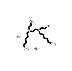 Br.Br.CCCCCCP(CCC)CCP(CCC)CCCCCC